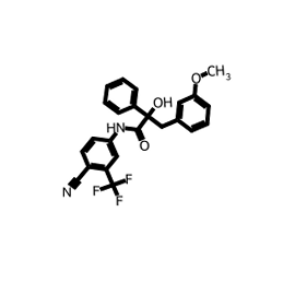 COc1cccc(CC(O)(C(=O)Nc2ccc(C#N)c(C(F)(F)F)c2)c2ccccc2)c1